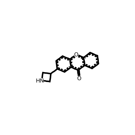 O=c1c2ccccc2oc2ccc(C3CNC3)cc12